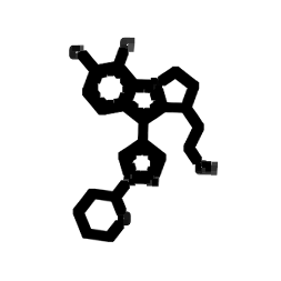 OCCC1CCn2c1c(-c1cnn(C3CCCCO3)c1)c1ccc(Cl)c(Cl)c12